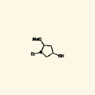 CCN1CC(O)CC1OC